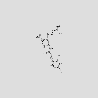 CCCN(CCC)CCOc1cc(NC(=O)C=Cc2ccc(F)cc2F)ccc1OC